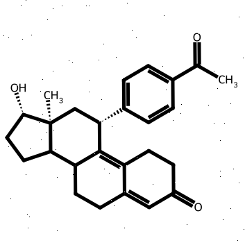 CC(=O)c1ccc([C@H]2C[C@@]3(C)C(CC[C@@H]3O)C3CCC4=CC(=O)CCC4=C32)cc1